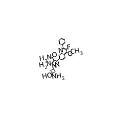 COc1c(F)c(-c2ccccc2)nc2cc(-c3nn([C@H]4C[C@@](N)(O)C4)c(N)c3C(N)=O)ccc12